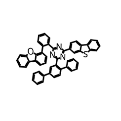 c1ccc(-c2ccc(-c3ccccc3)c(-c3nc(-c4ccc5c(c4)sc4ccccc45)nc(-c4ccccc4-c4cccc5c4oc4ccccc45)n3)c2)cc1